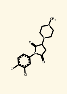 CN1CCN(C2CC(=O)N(c3ccc(Cl)c(Cl)c3)C2=O)CC1